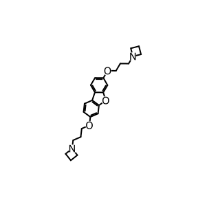 c1cc2c(cc1OCCCN1CCC1)oc1cc(OCCCN3CCC3)ccc12